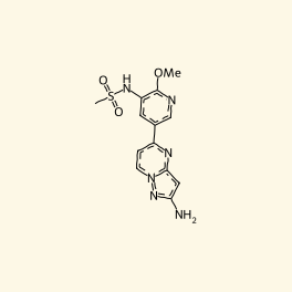 COc1ncc(-c2ccn3nc(N)cc3n2)cc1NS(C)(=O)=O